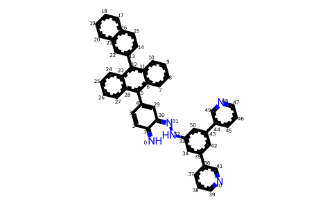 N=C1C=CC(c2c3ccccc3c(-c3ccc4ccccc4c3)c3ccccc23)=C/C1=N/Nc1cc(-c2cccnc2)cc(-c2cccnc2)c1